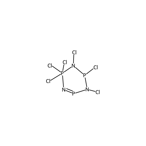 ClN1P=NP(Cl)(Cl)(Cl)N(Cl)P1Cl